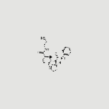 O=C(NCCO)C1C=CC2=C(N1)N(C(=O)Nc1ccccn1)[C@H]1CCN2C1